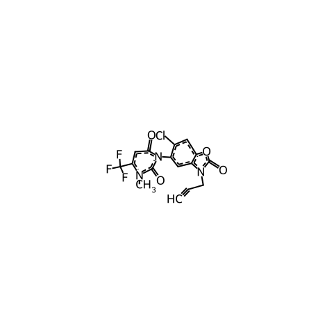 C#CCn1c(=O)oc2cc(Cl)c(-n3c(=O)cc(C(F)(F)F)n(C)c3=O)cc21